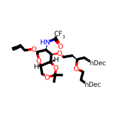 C=CCO[C@H]1O[C@@H]2COC(C)(C)O[C@H]2[C@H](OCC[C@@H](CCCCCCCCCCC)OCCCCCCCCCCCC)[C@H]1NC(=O)C(F)(F)F